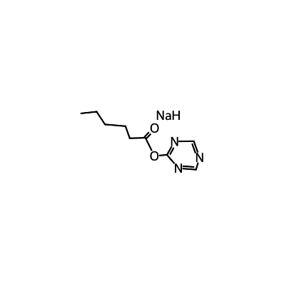 CCCCCC(=O)Oc1ncncn1.[NaH]